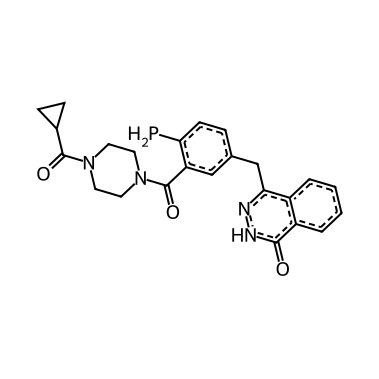 O=C(c1cc(Cc2n[nH]c(=O)c3ccccc23)ccc1P)N1CCN(C(=O)C2CC2)CC1